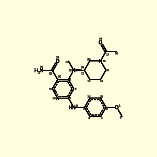 COc1ccc(Nc2cc(N(C)[C@@H]3CCCN(C(C)=O)C3)c(C(N)=O)cn2)cc1